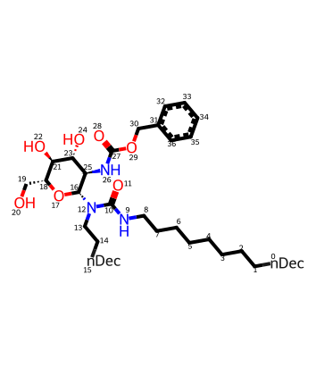 CCCCCCCCCCCCCCCCCCNC(=O)N(CCCCCCCCCCCC)[C@@H]1O[C@H](CO)[C@@H](O)[C@H](O)[C@H]1NC(=O)OCc1ccccc1